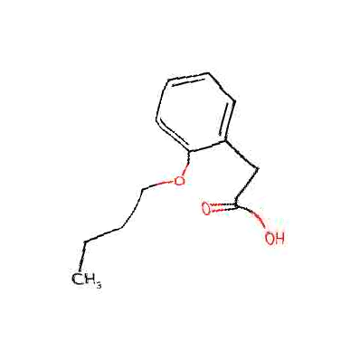 CCCCOc1ccccc1CC(=O)O